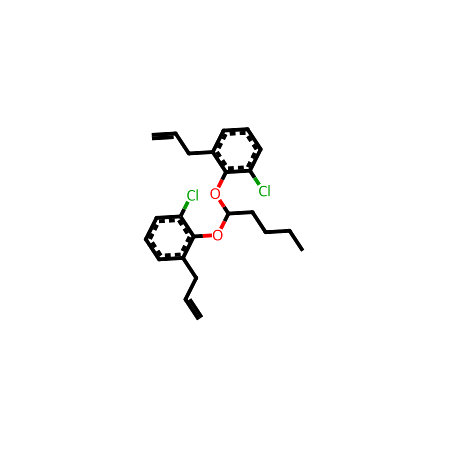 C=CCc1cccc(Cl)c1OC(CCCC)Oc1c(Cl)cccc1CC=C